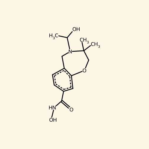 CC(O)N1Cc2ccc(C(=O)NO)cc2OCC1(C)C